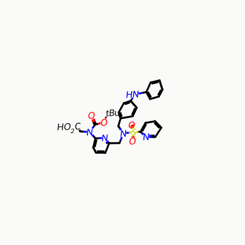 CC(C)(C)OC(=O)N(CC(=O)O)c1cccc(CN(Cc2ccc(Nc3ccccc3)cc2)S(=O)(=O)c2ccccn2)n1